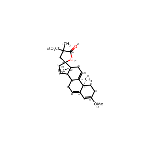 CCOC(=O)C1(C)C[C@@]2(CCC3C4CC=C5C=C(OC)CC[C@]5(C)C4=CC[C@@]32C)OC1=O